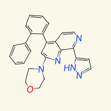 c1ccc(-c2ccccc2-c2cc(N3CCOCC3)nc3c(-c4ccn[nH]4)nccc23)cc1